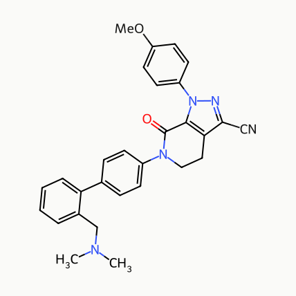 COc1ccc(-n2nc(C#N)c3c2C(=O)N(c2ccc(-c4ccccc4CN(C)C)cc2)CC3)cc1